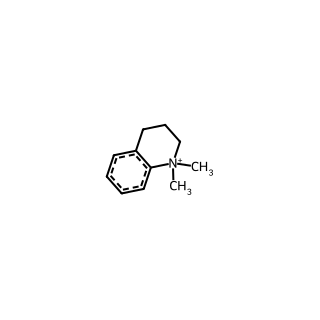 C[N+]1(C)CCCc2ccccc21